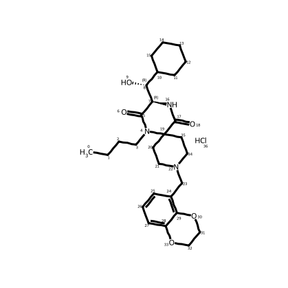 CCCCN1C(=O)[C@@H]([C@H](O)C2CCCCC2)NC(=O)C12CCN(Cc1cccc3c1OCCO3)CC2.Cl